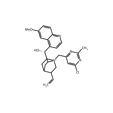 C=CC1C[N+]2(Cc3cc(Cl)nc(C)n3)CCC1CC2[C@H](O)c1ccnc2ccc(OC)cc12